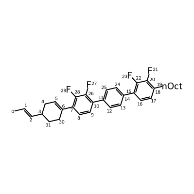 C/C=C/C1CC=C(c2ccc(-c3ccc(-c4ccc(CCCCCCCC)c(F)c4F)cc3)c(F)c2F)CC1